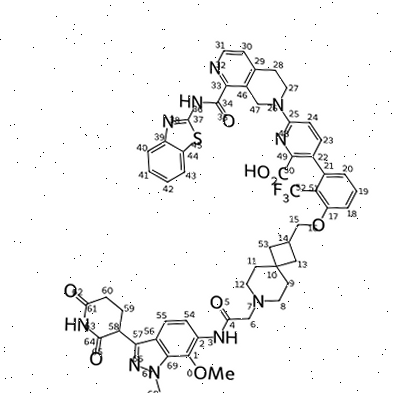 COc1c(NC(=O)CN2CCC3(CC2)CC(COc2cccc(-c4ccc(N5CCc6ccnc(C(=O)Nc7nc8ccccc8s7)c6C5)nc4C(=O)O)c2C(F)(F)F)C3)ccc2c(C3CCC(=O)NC3=O)nn(C)c12